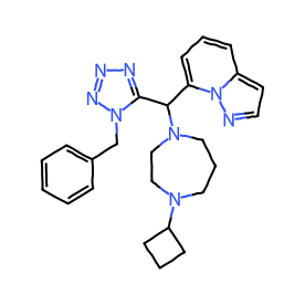 c1ccc(Cn2nnnc2C(c2cccc3ccnn23)N2CCCN(C3CCC3)CC2)cc1